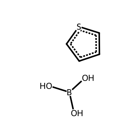 OB(O)O.c1ccsc1